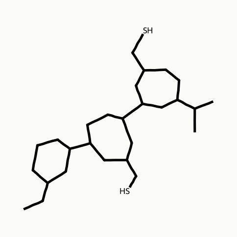 CCC1CCCC(C2CCC(C3CC(CS)CCC(C(C)C)C3)CC(CS)C2)C1